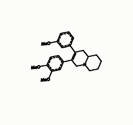 COc1cccc(C2=C(c3ccc(OC)c(OC)c3)CN3CCCCC3C2)c1